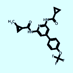 CC1=CC1C(=O)Nc1cc(-c2ccc(OC(F)(F)F)cc2)cc(NC(=O)C2CC2)n1